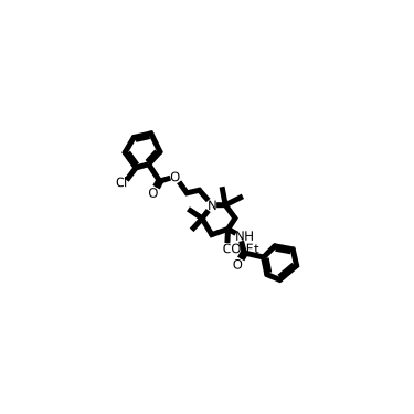 CCOC(=O)C1(NC(=O)c2ccccc2)CC(C)(C)N(CCOC(=O)c2ccccc2Cl)C(C)(C)C1